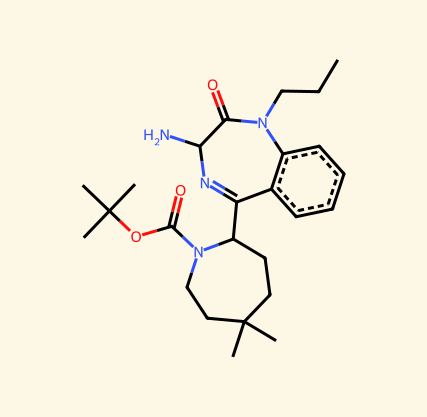 CCCN1C(=O)C(N)N=C(C2CCC(C)(C)CCN2C(=O)OC(C)(C)C)c2ccccc21